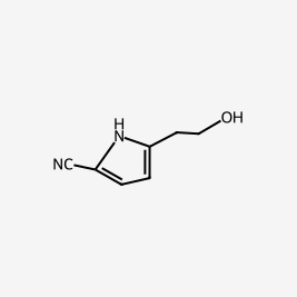 N#Cc1ccc(CCO)[nH]1